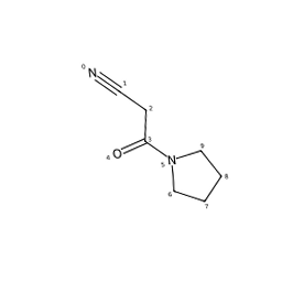 N#CCC(=O)N1CCCC1